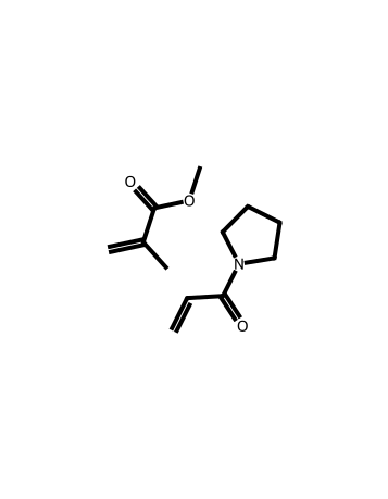 C=C(C)C(=O)OC.C=CC(=O)N1CCCC1